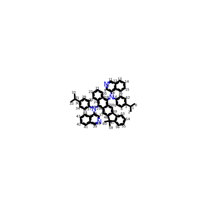 CC(C)c1ccc(N(c2cncc3ccccc23)c2c3ccccc3c(N(c3ccc(C(C)C)cc3)c3cncc4ccccc34)c3cc4c(cc23)-c2ccccc2C4(C)C)cc1